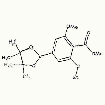 CCOc1cc(B2OC(C)(C)C(C)(C)O2)cc(OC)c1C(=O)OC